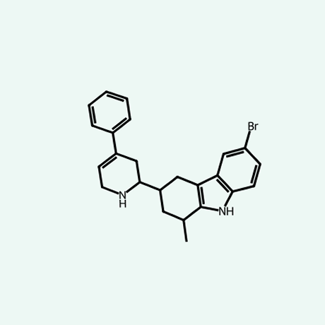 CC1CC(C2CC(c3ccccc3)=CCN2)Cc2c1[nH]c1ccc(Br)cc21